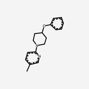 Cc1ccc(N2CCC(Oc3ccccc3)CC2)nc1